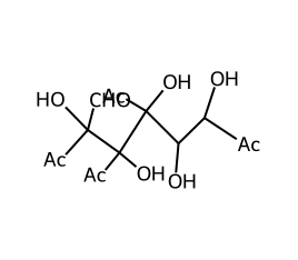 CC(=O)C(O)C(O)C(O)(C(C)=O)C(O)(C(C)=O)C(O)(C=O)C(C)=O